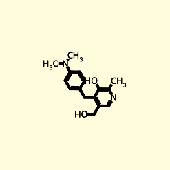 Cc1ncc(CO)c(Cc2ccc(N(C)C)cc2)c1O